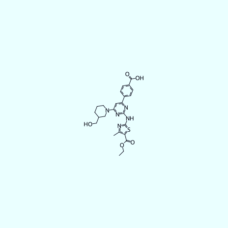 CCOC(=O)c1sc(Nc2nc(-c3ccc(C(=O)O)cc3)cc(N3CCCC(CO)C3)n2)nc1C